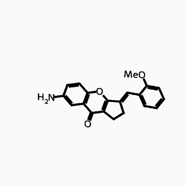 COc1ccccc1C=C1CCc2c1oc1ccc(N)cc1c2=O